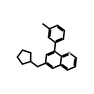 Cc1cccc(-c2cc(CC3CCCC3)cc3cccnc23)c1